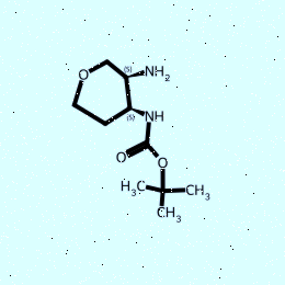 CC(C)(C)OC(=O)N[C@H]1CCOC[C@H]1N